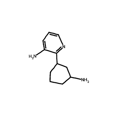 Nc1cccnc1C1CCCC(N)C1